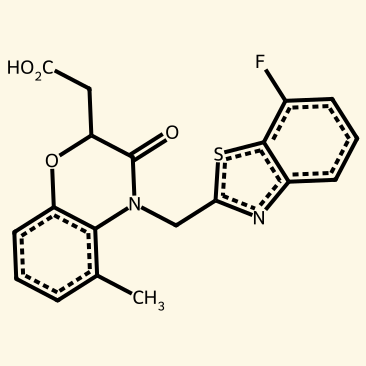 Cc1cccc2c1N(Cc1nc3cccc(F)c3s1)C(=O)C(CC(=O)O)O2